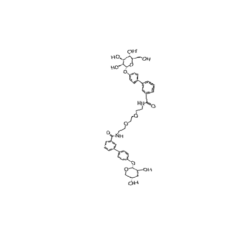 O=C(NCCOCCOCCNC(=O)c1cccc(-c2ccc(O[C@H]3O[C@H](CO)[C@@H](O)[C@H](O)[C@@H]3O)cc2)c1)c1cccc(-c2ccc(O[C@H]3OC[C@@H](O)CC3O)cc2)c1